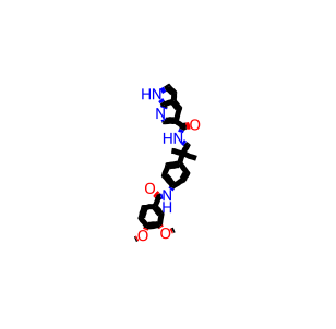 COc1ccc(C(=O)Nc2ccc(C(C)(C)CNC(=O)c3cnc4[nH]ccc4c3)cc2)cc1OC